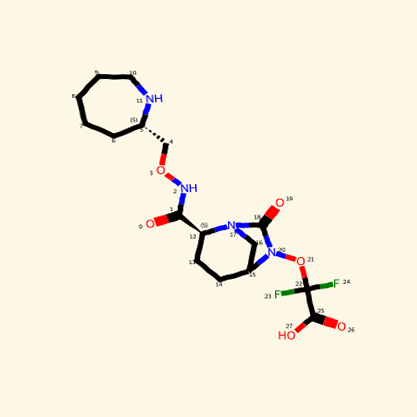 O=C(NOC[C@@H]1CCCCCN1)[C@@H]1CCC2CN1C(=O)N2OC(F)(F)C(=O)O